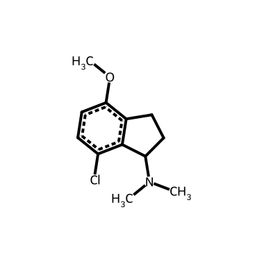 COc1ccc(Cl)c2c1CCC2N(C)C